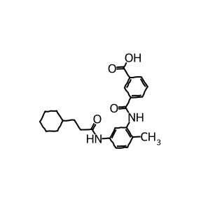 Cc1ccc(NC(=O)CCC2CCCCC2)cc1NC(=O)c1cccc(C(=O)O)c1